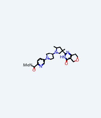 CNC(=O)c1ccc(N2CCC(N3CC(C)(c4nc5c(c(=O)[nH]4)COCC5)CC3C)CC2)cn1